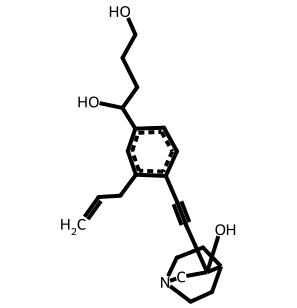 C=CCc1cc(C(O)CCCO)ccc1C#CC1(O)CN2CCC1CC2